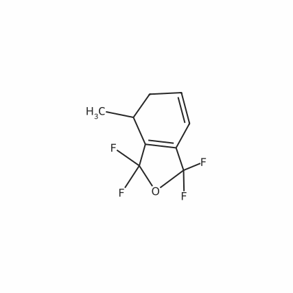 CC1CC=CC2=C1C(F)(F)OC2(F)F